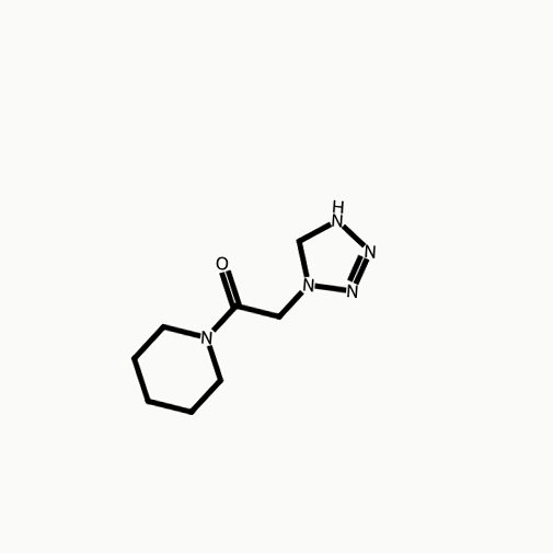 O=C(CN1CNN=N1)N1CCCCC1